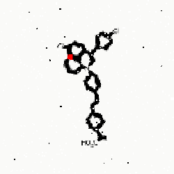 C=C(C(=O)O)c1ccc(C=Cc2ccc(N(C=C(c3ccc(Cl)cc3)c3ccc(Cl)cc3)c3ccccc3)cc2)cc1